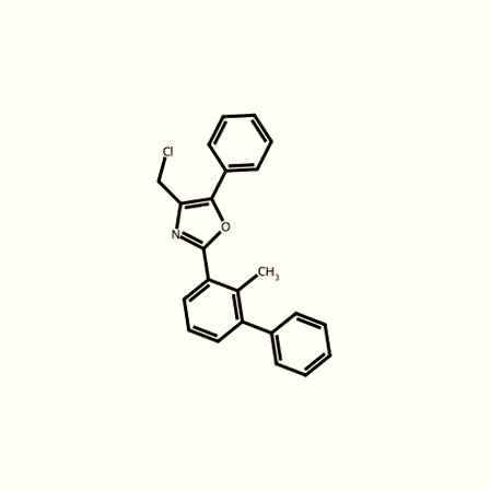 Cc1c(-c2ccccc2)cccc1-c1nc(CCl)c(-c2ccccc2)o1